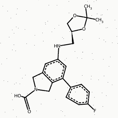 CC1(C)OC[C@H](CNc2cc3c(c(-c4ccc(F)cc4)c2)CN(C(=O)O)C3)O1